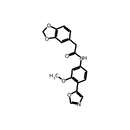 COc1cc(NC(=O)Cc2ccc3c(c2)OCO3)ccc1-c1cnco1